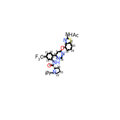 CC(=O)Nc1nc2c(Oc3cc(-c4ccc(C(F)(F)F)cc4NC(=O)[C@@H]4CCCN4C(C)C)ncn3)cccc2s1